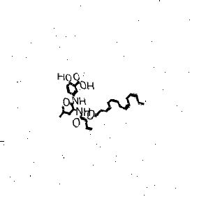 CC/C=C\C/C=C\C/C=C\C/C=C\CCOC(CC)C(=O)NC(CC(C)C)C(=O)Nc1ccc(O)c(C(=O)O)c1